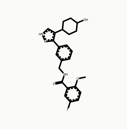 COc1ccc(F)cc1C(=O)NCc1cccc(-c2n[nH]cc2C2CCC(O)CC2)c1